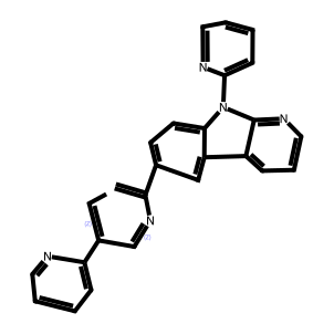 C=C(/N=C\C(=C/C)c1ccccn1)c1ccc2c(c1)c1cccnc1n2-c1ccccn1